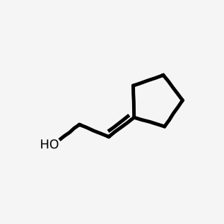 OCC=C1CCCC1